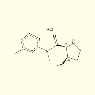 Cc1cccc(N(C)C(=O)[C@H]2NCC[C@H]2O)c1.Cl